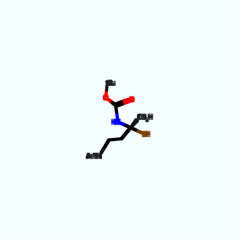 CC(=O)NCC[C@@](S)(NC(=O)OC(C)(C)C)C(=O)O